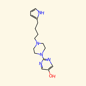 Oc1cnc(N2CCN(CCCCc3ccc[nH]3)CC2)nc1